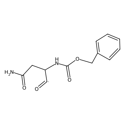 NC(=O)CC([C]=O)NC(=O)OCc1ccccc1